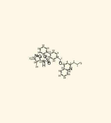 CCCc1cc(OCc2ccc(-c3ccccc3)c(S(=O)(=O)Nc3onc(C)c3C)c2)c2ccccc2n1